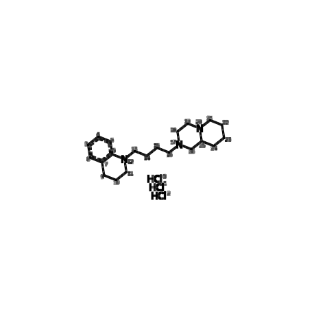 Cl.Cl.Cl.c1ccc2c(c1)CCCN2CCCCN1CCN2CCCCC2C1